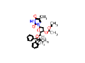 CCO[C@@H](C)OC1C[C@H](n2cc(C)c(=O)[nH]c2=O)O[C@@H]1CO[Si](c1ccccc1)(c1ccccc1)C(C)(C)C